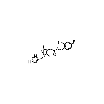 Cc1nn(Cc2c[nH]cn2)c(C)c1CC(=O)NCc1ccc(F)cc1Cl